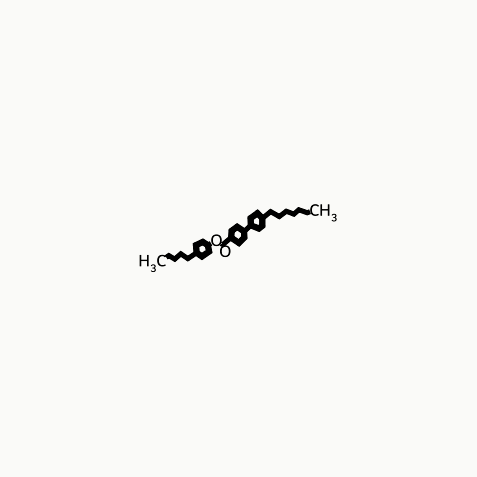 CCCCCCCc1ccc(-c2ccc(C(=O)Oc3ccc(CCCCC)cc3)cc2)cc1